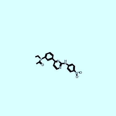 CCN(C(C)=O)c1cccc(-c2ccnc(Nc3ccc([N+](=O)[O-])cc3)n2)c1